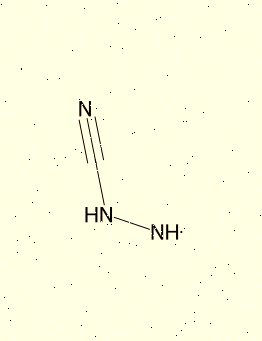 N#CN[NH]